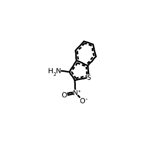 Nc1c([N+](=O)[O-])sc2ccccc12